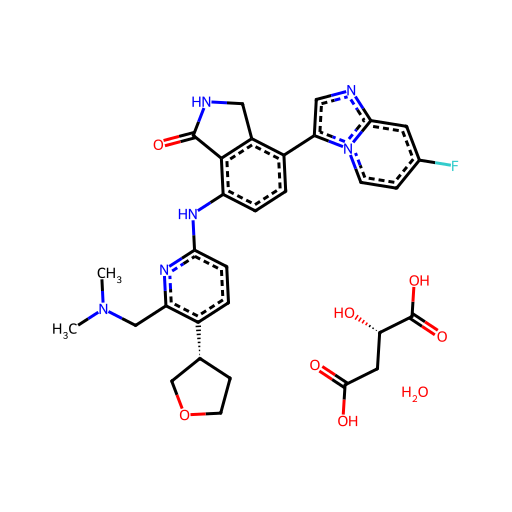 CN(C)Cc1nc(Nc2ccc(-c3cnc4cc(F)ccn34)c3c2C(=O)NC3)ccc1[C@@H]1CCOC1.O.O=C(O)C[C@H](O)C(=O)O